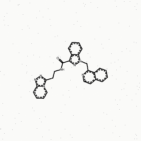 O=C(NCCc1nnc2ccccn12)c1nn(Cc2nccc3ccccc23)c2ccccc12